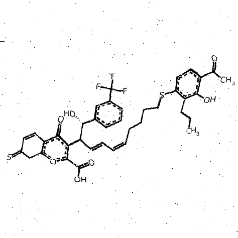 CCCc1c(SCCCC/C=C\C=C\C(c2c(C(=O)O)oc3c(c2=O)C=CC(=S)C3)[C@H](O)c2cccc(C(F)(F)F)c2)ccc(C(C)=O)c1O